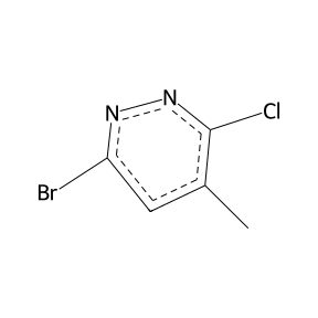 Cc1cc(Br)nnc1Cl